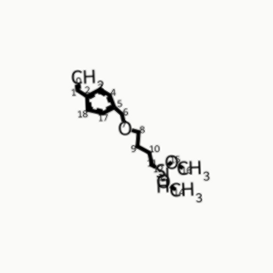 C=Cc1ccc(COCCCC[SiH](OC)OC)cc1